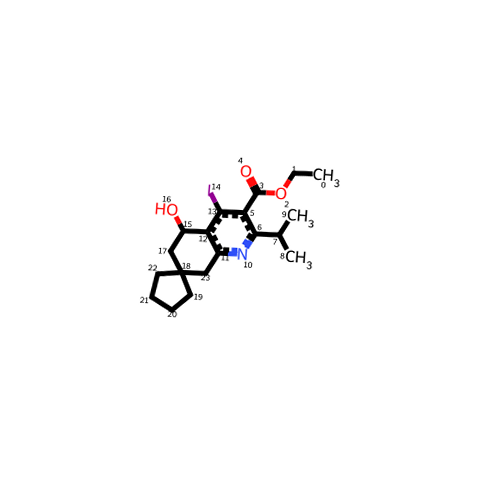 CCOC(=O)c1c(C(C)C)nc2c(c1I)C(O)CC1(CCCC1)C2